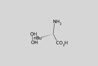 CCCC[C@H](N)C(=O)O.OO